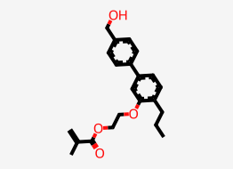 C=C(C)C(=O)OCCOc1cc(-c2ccc(CO)cc2)ccc1CCC